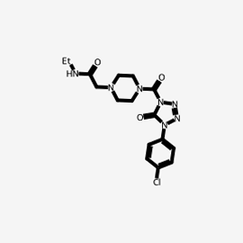 CCNC(=O)CN1CCN(C(=O)n2nnn(-c3ccc(Cl)cc3)c2=O)CC1